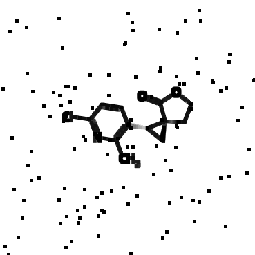 Cc1nc(Cl)ccc1[C@H]1C[C@@]12CCOC2=O